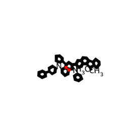 CC1(C)c2ccccc2-c2ccc3cc4c5cc(-c6ccccc6N(C6=CCC(c7ccccc7)C=C6)c6ccccc6)ccc5n(-c5ccccc5)c4cc3c21